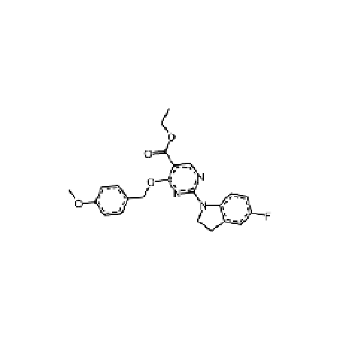 CCOC(=O)c1cnc(N2CCc3cc(F)ccc32)nc1OCc1ccc(OC)cc1